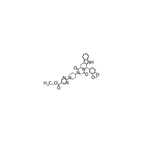 CCOC(=O)c1cnc(N2CCC(N3CC(=O)N4C(Cc5c([nH]c6ccccc56)C4c4ccc5c(c4)OCO5)C3=O)CC2)nc1